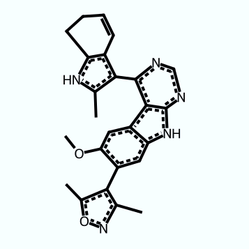 COc1cc2c(cc1-c1c(C)noc1C)[nH]c1ncnc(-c3c(C)[nH]c4c3C=CCC4)c12